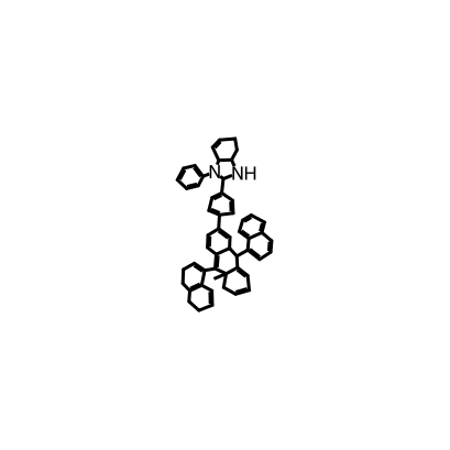 CC12CC=CC=C1C(c1cccc3ccccc13)C1C=C(c3ccc(C4NC5CCC=CC5N4c4ccccc4)cc3)C=CC1=C2C1=CCCC2=C1C=CCC2